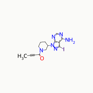 CC#CC(=O)N1CCCC(n2nc(I)c3c(N)ncnc32)C1